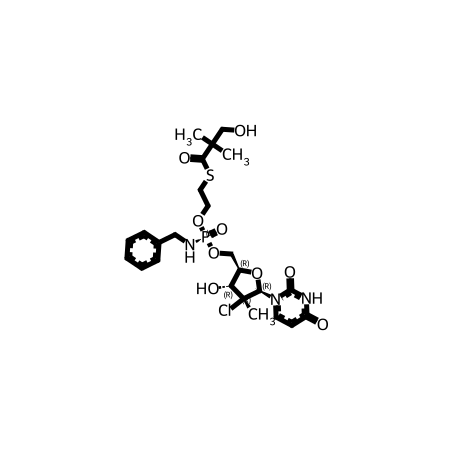 CC(C)(CO)C(=O)SCCO[P@](=O)(NCc1ccccc1)OC[C@H]1O[C@@H](n2ccc(=O)[nH]c2=O)[C@](C)(Cl)[C@@H]1O